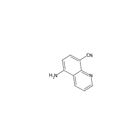 N#Cc1ccc(N)c2cccnc12